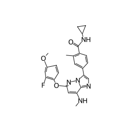 CNc1cc(Oc2ccc(OC)cc2F)nn2c(-c3ccc(C(=O)NC4CC4)c(C)c3)cnc12